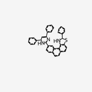 C1=C(c2ccccc2)N=C(c2ccc3ccc4ccc5c(c4c3c2)NC(c2ccccc2)S5)NC1c1ccccc1